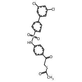 CC(=O)SCC(=O)c1ccc(NS(=O)(=O)c2ccc(-c3cc(Cl)cc(Cl)c3)cc2)cc1